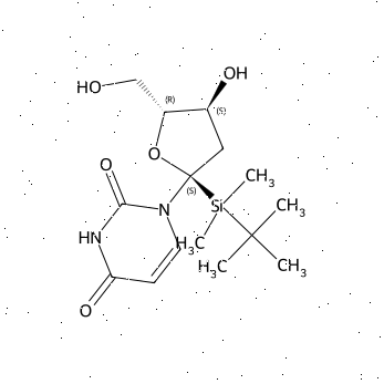 CC(C)(C)[Si](C)(C)[C@]1(n2ccc(=O)[nH]c2=O)C[C@H](O)[C@@H](CO)O1